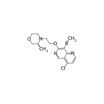 C=Bc1c(OCCN2CCOC[C@@H]2C)ncc2c(Cl)ccnc12